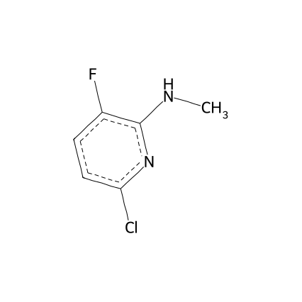 CNc1nc(Cl)ccc1F